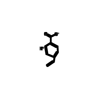 C=Cc1ccc(C(=O)[O-])cc1.[K+]